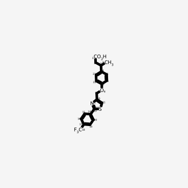 CC(CC(=O)O)c1ccc(OCc2csc(-c3ccc(C(F)(F)F)cc3)n2)cc1